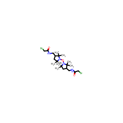 CC1(C)CC(CNC(=O)CBr)C(C)(C)N1ON1C(C)(C)CC(CNC(=O)CBr)C1(C)C